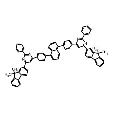 CC1(C)c2ccccc2-c2ccc(-c3cc(-c4ccc(-c5cccc6c(-c7ccc(-c8cc(-c9ccc%10c(c9)C(C)(C)c9ccccc9-%10)nc(-c9ccccc9)n8)cc7)cccc56)cc4)nc(-c4ccccc4)n3)cc21